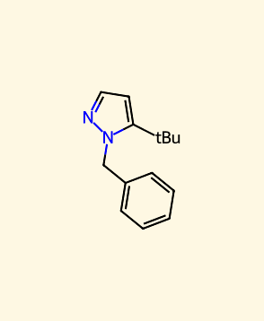 CC(C)(C)c1ccnn1Cc1ccccc1